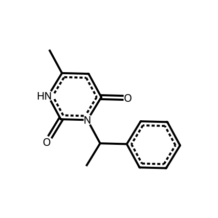 Cc1cc(=O)n(C(C)c2ccccc2)c(=O)[nH]1